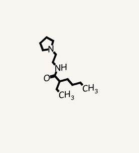 CCCCC(CC)C(=O)NCCN1CCCC1